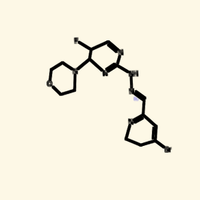 FC1C=NC(N/N=C/C2=NCCC(Br)=C2)=NC1N1CCOCC1